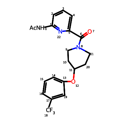 CC(=O)Nc1cccc(C(=O)N2CCC(Oc3cccc(C(F)(F)F)c3)CC2)n1